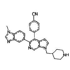 Cn1cnc2cc(-c3ncc4c(ccn4CC4CCNCC4)c3-c3ccc(C#N)cc3)ccc21